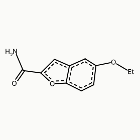 CCOc1ccc2oc(C(N)=O)cc2c1